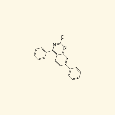 Clc1nc(-c2ccccc2)c2ccc(-c3ccccc3)cc2n1